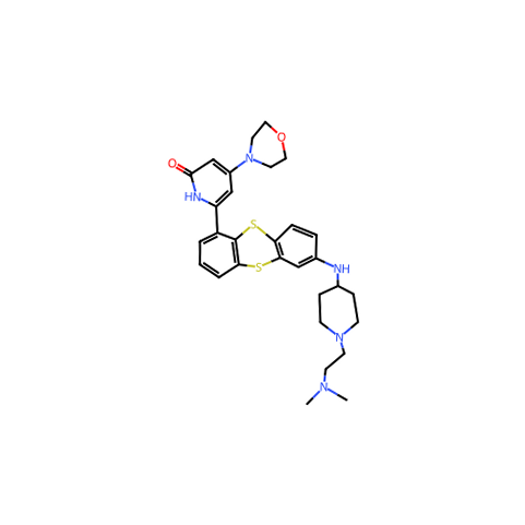 CN(C)CCN1CCC(Nc2ccc3c(c2)Sc2cccc(-c4cc(N5CCOCC5)cc(=O)[nH]4)c2S3)CC1